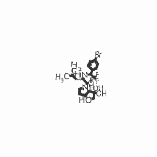 CC(C)C[C@H](NC(c1ccc(Br)cc1)C(F)(F)F)C(=O)N1CC[C@H]2OCC(O)(O)[C@H]21